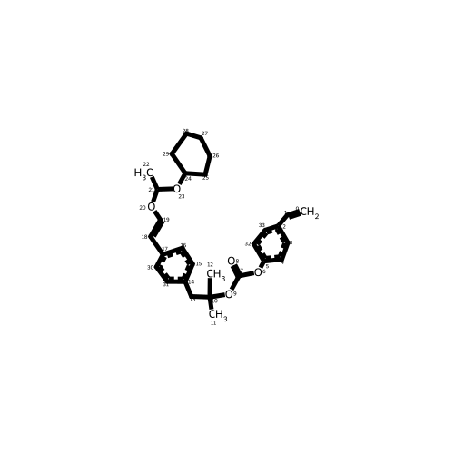 C=Cc1ccc(OC(=O)OC(C)(C)Cc2ccc(C=COC(C)OC3CCCCC3)cc2)cc1